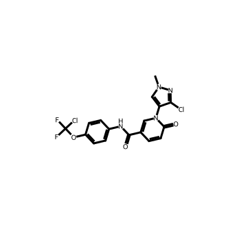 Cn1cc(-n2cc(C(=O)Nc3ccc(OC(F)(F)Cl)cc3)ccc2=O)c(Cl)n1